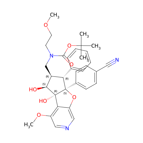 COCCN(C[C@@H]1[C@H](O)[C@]2(O)c3c(OC)cncc3O[C@]2(c2ccc(C#N)cc2)[C@H]1c1ccccc1)C(=O)OC(C)(C)C